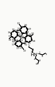 CCC[NH+](CCC)CCC.Cc1cccc([B-](c2cccc(C)c2C)(c2cccc(C)c2C)c2cccc(C)c2C)c1C